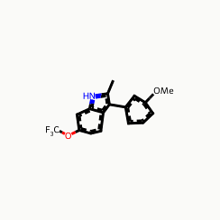 COc1cccc(-c2c(C)[nH]c3cc(OC(F)(F)F)ccc23)c1